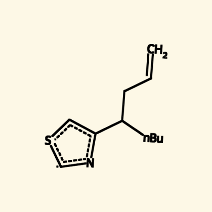 C=CCC(CCCC)c1cs[c]n1